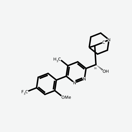 COc1cc(C(F)(F)F)ccc1-c1nnc([C@@H](O)C2CN3CCC2CC3)cc1C